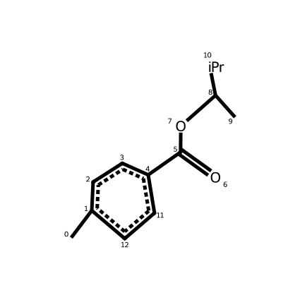 Cc1ccc(C(=O)OC(C)C(C)C)cc1